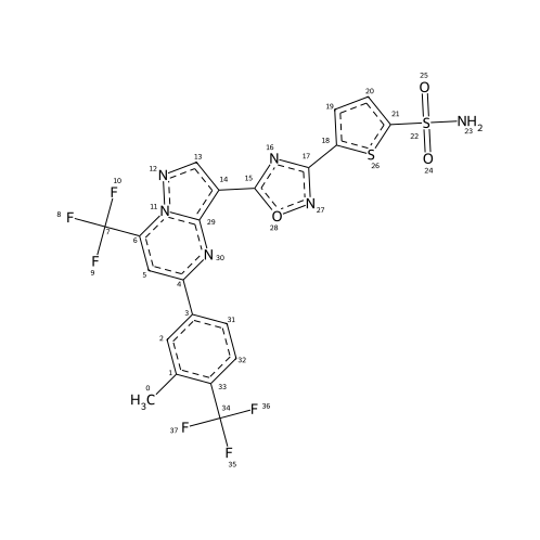 Cc1cc(-c2cc(C(F)(F)F)n3ncc(-c4nc(-c5ccc(S(N)(=O)=O)s5)no4)c3n2)ccc1C(F)(F)F